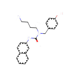 NCCC[C@H](C(=O)O)N(Cc1ccc(O)cc1)C(=O)Nc1ccc2ccccc2c1